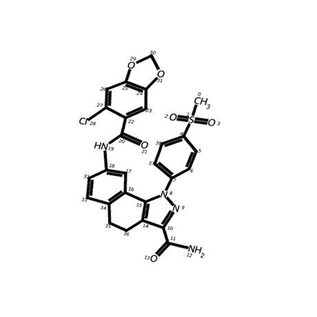 CS(=O)(=O)c1ccc(-n2nc(C(N)=O)c3c2-c2cc(NC(=O)c4cc5c(cc4Cl)OCO5)ccc2CC3)cc1